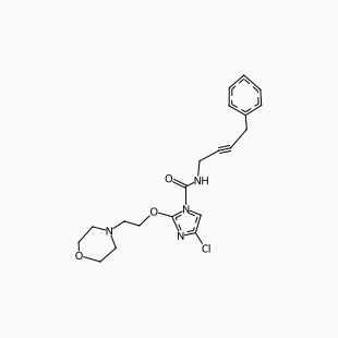 O=C(NCC#CCc1ccccc1)n1cc(Cl)nc1OCCN1CCOCC1